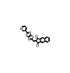 O=C1C(=Cc2nc3sc(-c4cccnc4)nc3s2)C(=O)c2cc3ccccc3cc21